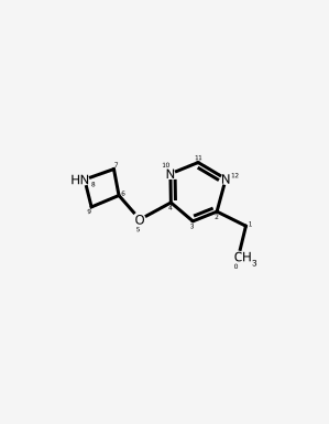 CCc1cc(OC2CNC2)ncn1